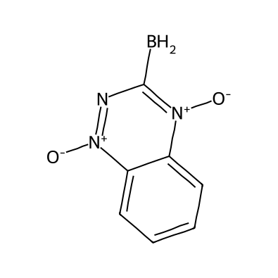 Bc1n[n+]([O-])c2ccccc2[n+]1[O-]